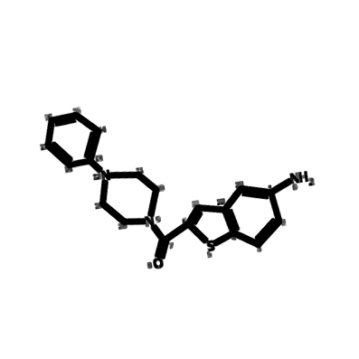 Nc1ccc2sc(C(=O)N3CCN(c4ccccc4)CC3)cc2c1